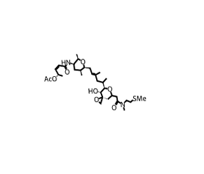 CSCCN(C)C(=O)CC1C[C@@]2(CO2)[C@H](O)[C@@H](C(C)C/C(C)=C/C[C@@H]2O[C@H](C)[C@H](NC(=O)/C=C\[C@H](C)OC(C)=O)C[C@@H]2C)O1